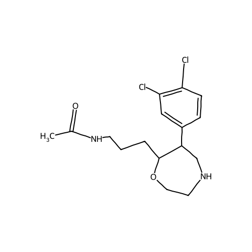 CC(=O)NCCCC1OCCNCC1c1ccc(Cl)c(Cl)c1